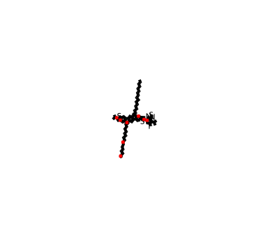 CCCCCCCCCCCCCCCCC1(C)c2cc3c(cc2-c2cc4sc(-c5cc(F)c(C(C)C)c6nsnc56)cc4cc21)C(C)(CCCCCCCCCCCCCCCC)c1cc2cc(C(C)C)sc2cc1-3